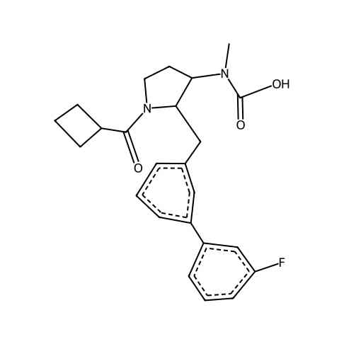 CN(C(=O)O)C1CCN(C(=O)C2CCC2)C1Cc1cccc(-c2cccc(F)c2)c1